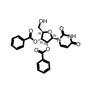 O=C(O[C@@H]1[C@H](OC(=O)c2ccccc2)[C@@H](CO)O[C@H]1n1ccc(=O)[nH]c1=O)c1ccccc1